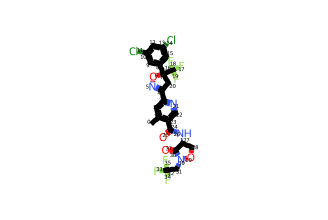 Cc1cc(C2=NOC(c3cc(Cl)cc(Cl)c3)(C(F)(F)F)C2)ncc1C(=O)N[C@@H]1CON(CC(F)(F)F)C1=O